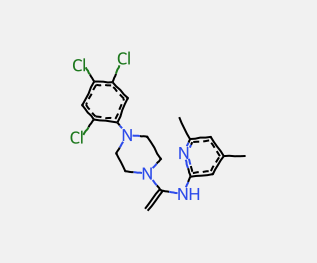 C=C(Nc1cc(C)cc(C)n1)N1CCN(c2cc(Cl)c(Cl)cc2Cl)CC1